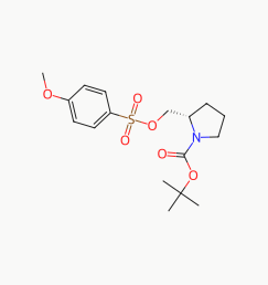 COc1ccc(S(=O)(=O)OC[C@@H]2CCCN2C(=O)OC(C)(C)C)cc1